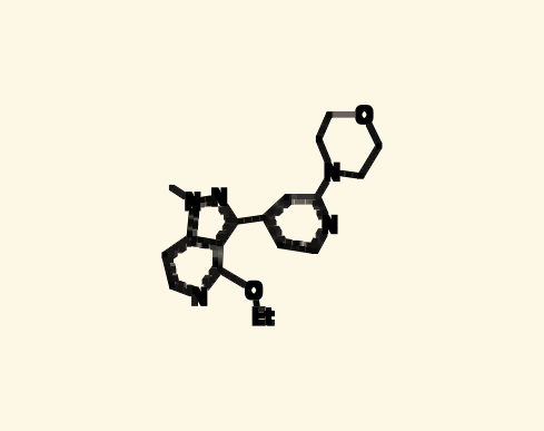 CCOc1nccc2c1c(-c1ccnc(N3CCOCC3)c1)nn2C